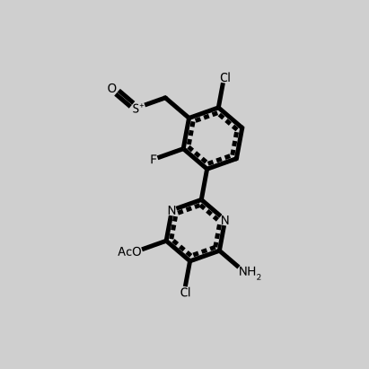 CC(=O)Oc1nc(-c2ccc(Cl)c(C[S+]=O)c2F)nc(N)c1Cl